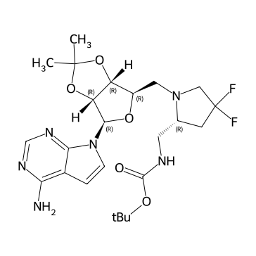 CC(C)(C)OC(=O)NC[C@H]1CC(F)(F)CN1C[C@H]1O[C@@H](n2ccc3c(N)ncnc32)[C@@H]2OC(C)(C)O[C@@H]21